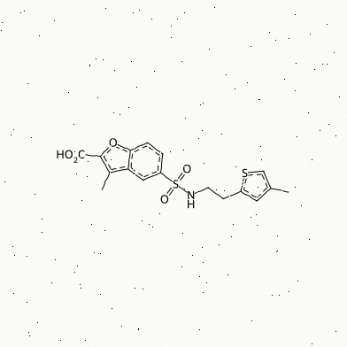 Cc1csc(CCNS(=O)(=O)c2ccc3oc(C(=O)O)c(C)c3c2)c1